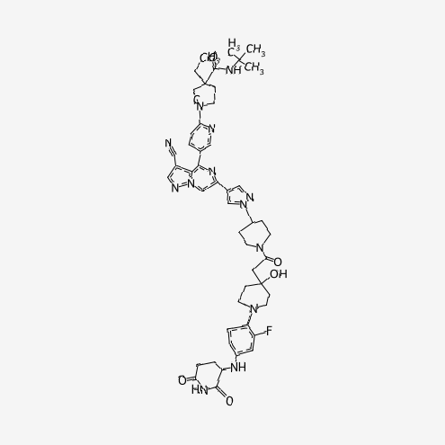 CCC1(C(=O)NC(C)(C)C)CCN(c2ccc(-c3nc(-c4cnn(C5CCN(C(=O)CC6(O)CCN(c7ccc(NC8CCC(=O)NC8=O)cc7F)CC6)CC5)c4)cn4ncc(C#N)c34)cn2)CC1